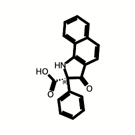 O=C(O)[C@]1(c2ccccc2)Nc2c(ccc3ccccc23)C1=O